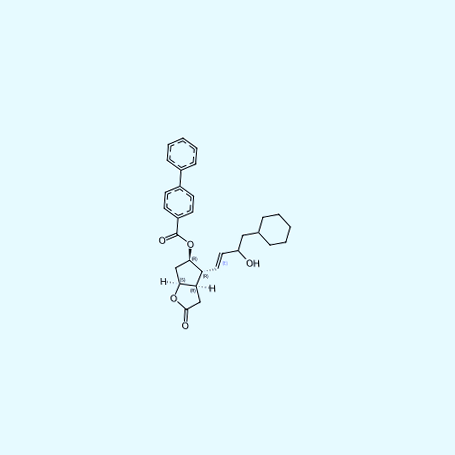 O=C1C[C@@H]2[C@@H](/C=C/C(O)CC3CCCCC3)[C@H](OC(=O)c3ccc(-c4ccccc4)cc3)C[C@@H]2O1